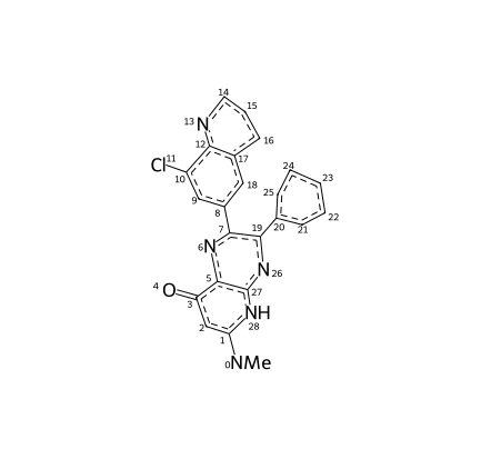 CNc1cc(=O)c2nc(-c3cc(Cl)c4ncccc4c3)c(-c3ccccc3)nc2[nH]1